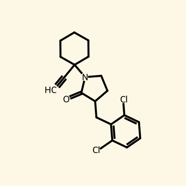 C#CC1(N2CCC(Cc3c(Cl)cccc3Cl)C2=O)CCCCC1